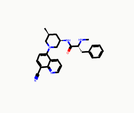 CN[C@H](Cc1ccccc1)C(=O)N[C@@H]1C[C@H](C)CN(c2ccc(C#N)c3ncccc23)C1